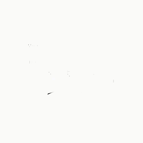 C=CC[C@@H]1CC[C@@H](c2cccc(F)c2F)CN/C1=N\CC(O)C(C)(C)OC